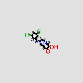 O=c1cc2n(cc1O)CCN(Cc1cc(Cl)cc(Cl)c1)C2